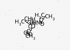 CC(C)COC(=O)NC[C@H](CCCOS(C)(=O)=O)NC(=O)OCC(C)C